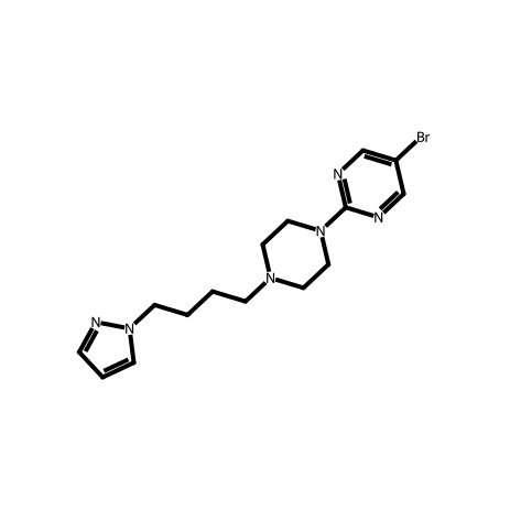 Brc1cnc(N2CCN(CCCCn3cccn3)CC2)nc1